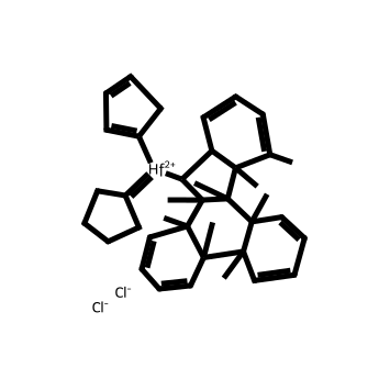 CC1=CC=CC2[CH]([Hf+2]([C]3=CC=CC3)=[C]3CCCC3)C3(C)C4(C)C=CC=CC4(C)C4(C)C=CC=CC4(C)C3(C)C12C.[Cl-].[Cl-]